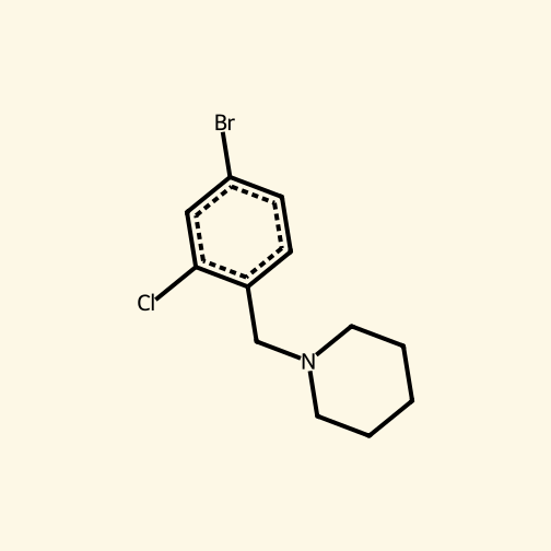 Clc1cc(Br)ccc1CN1CCCCC1